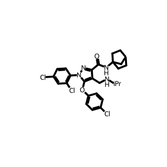 CC(C)NCc1c(C(=O)NC23CCC(CC2)C3)nn(-c2ccc(Cl)cc2Cl)c1Oc1ccc(Cl)cc1